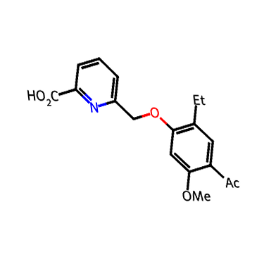 CCc1cc(C(C)=O)c(OC)cc1OCc1cccc(C(=O)O)n1